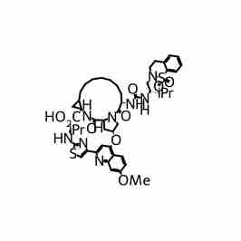 COc1ccc2c(O[C@@H]3C[C@H]4C(=O)N[C@]5(C(=O)O)CC5CCCCCCC[C@H](NC(=O)N[C@H](CN5CCc6ccccc6S5(=O)=O)C(C)C)C(=O)N4C3)cc(-c3csc(NC(C)C)n3)nc2c1